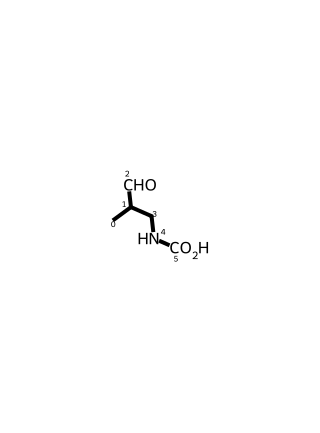 CC(C=O)CNC(=O)O